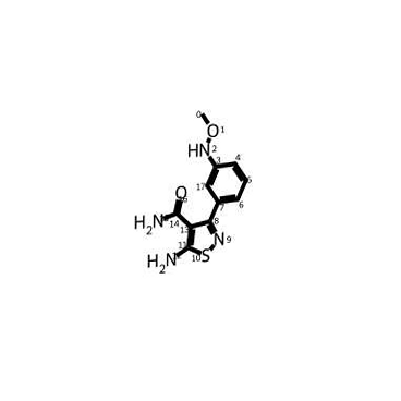 CONc1cccc(-c2nsc(N)c2C(N)=O)c1